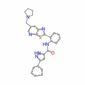 O=C(Nc1ccccc1-c1nc2cc(CN3CCCC3)cnc2s1)c1cc(-c2ccccc2)n[nH]1